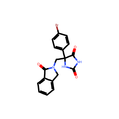 O=C1NC(=O)C(CN2Cc3ccccc3C2=O)(c2ccc(Br)cc2)N1